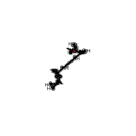 CCCCN1/C(=C/C=C2\CCCC(/C=C/C3=[N+](CCCCCC(=O)NCCCOCCOCCOCCCNC(=O)CCCCC[N+]4=C(/C=C/C5=C(c6ccccc6F)C(=C/C=C6/N(CCC)c7ccc(N(CCCS(=O)(=O)O)CCCS(=O)(=O)O)cc7C6(C)C)/CCC5)C(C)(C)c5c4ccc4cc(C)ccc54)c4ccc(S(=O)(=O)O)cc4C3(C)C)=C2Oc2ccc(S(=O)(=O)O)cc2)C(C)(C)c2ccccc21